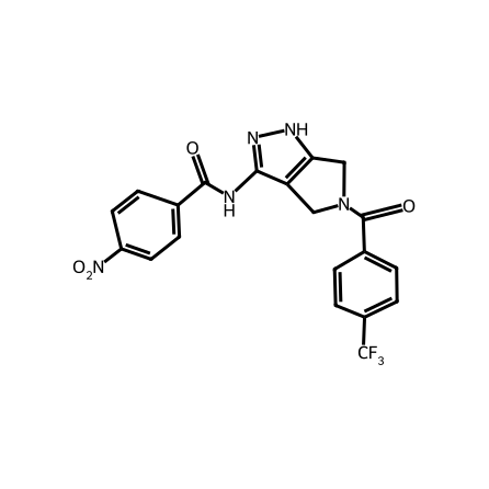 O=C(Nc1n[nH]c2c1CN(C(=O)c1ccc(C(F)(F)F)cc1)C2)c1ccc([N+](=O)[O-])cc1